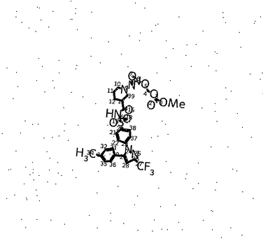 COC(=O)OCOn1on1N1CCCC(C(=O)NS(=O)(=O)c2ccc(-n3nc(C(F)(F)F)cc3-c3ccc(C)cc3)cc2)C1